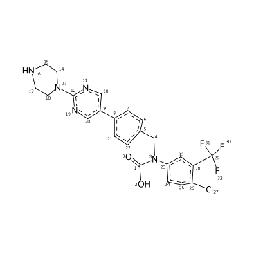 O=C(O)N(Cc1ccc(-c2cnc(N3CCNCC3)nc2)cc1)c1ccc(Cl)c(C(F)(F)F)c1